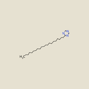 CCCCCCCCCCCCCCCCCCCC[CH]c1ncncn1